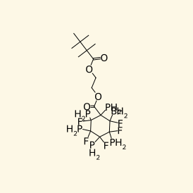 BC1(F)C(F)(P)C(F)(P)C(F)(P)C(F)(P)C1(P)C(=O)OCCOC(=O)C(C)(C)C(C)(C)C